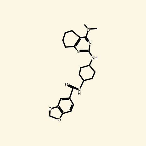 CN(C)c1nc(NC2CCC(NC(=O)c3ccc4c(c3)OCO4)CC2)nc2c1CCCC2